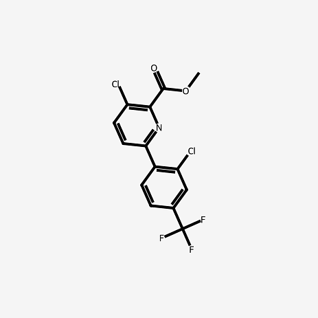 COC(=O)c1nc(-c2ccc(C(F)(F)F)cc2Cl)ccc1Cl